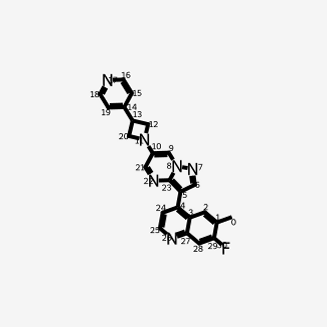 Cc1cc2c(-c3cnn4cc(N5CC(c6ccncc6)C5)cnc34)ccnc2cc1F